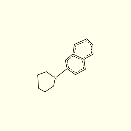 [c]1c(N2CCCCC2)ccc2ccccc12